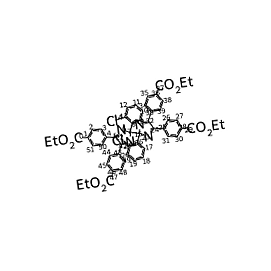 CCOC(=O)c1ccc(C2=NC(c3ccccc3Cl)(C3(c4ccccc4Cl)N=C(c4ccc(C(=O)OCC)cc4)C(c4ccc(C(=O)OCC)cc4)=N3)N=C2c2ccc(C(=O)OCC)cc2)cc1